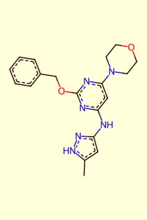 Cc1cc(Nc2cc(N3CCOCC3)nc(OCc3ccccc3)n2)n[nH]1